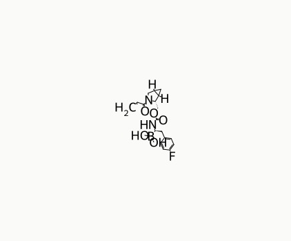 C=CC(=O)N1C[C@@H]2C[C@@H]2[C@@H]1COC(=O)N[C@@H](Cc1ccc(F)cc1)B(O)O